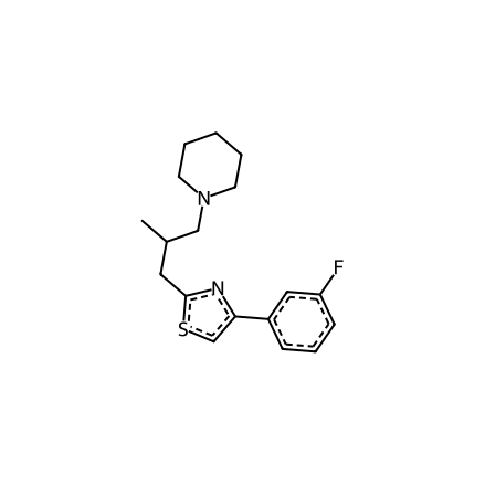 CC(Cc1nc(-c2cccc(F)c2)cs1)CN1CCCCC1